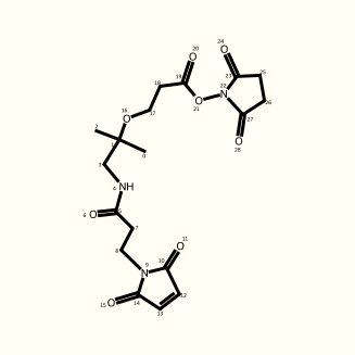 CC(C)(CNC(=O)CCN1C(=O)C=CC1=O)OCCC(=O)ON1C(=O)CCC1=O